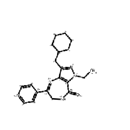 CCn1nc(CC2CCCCC2)c2c1C(=O)NCC(c1ccncc1)=N2